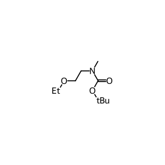 CCOCCN(C)C(=O)OC(C)(C)C